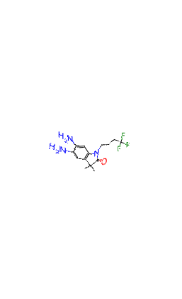 CC1(C)C(=O)N(CCCC(F)(F)F)c2cc(N)c(N)cc21